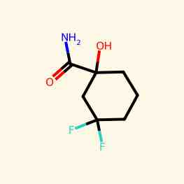 NC(=O)C1(O)CCCC(F)(F)C1